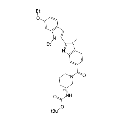 CCOc1ccc2cc(-c3nc4cc(C(=O)N5CCC[C@@H](NC(=O)OC(C)(C)C)C5)ccc4n3C)n(CC)c2c1